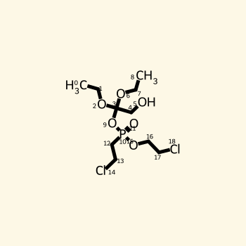 CCOC(CO)(OCC)OP(=O)(CCCl)OCCCl